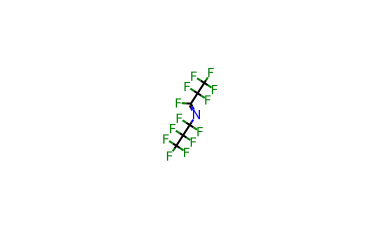 F/C(=N\C(F)(F)C(F)(F)C(F)(F)F)C(F)(F)C(F)(F)F